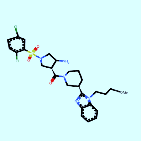 COCCCn1c([C@@H]2CCCN(C(=O)[C@H]3CN(S(=O)(=O)c4cc(Cl)ccc4Cl)CC3N)C2)nc2ccccc21